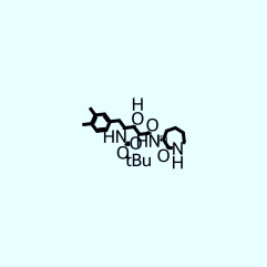 Cc1ccc(CC(NC(=O)OC(C)(C)C)C(O)CC(=O)N[C@@H]2CCCCNC2=O)cc1C